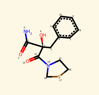 NC(=O)[C@](O)(Cc1ccccc1)C(=O)N1CCSC1